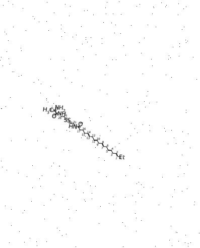 CCC=CCC=CCC=CCC=CCC=CCCCC(=O)NCCSSCCNC(=O)[C@H](C)N